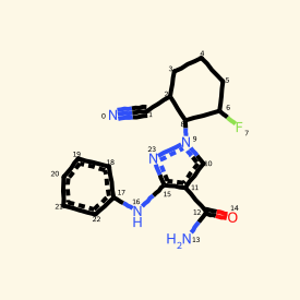 N#CC1CCCC(F)C1n1cc(C(N)=O)c(Nc2ccccc2)n1